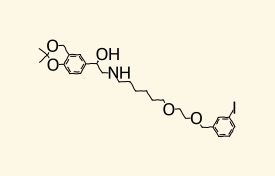 CC1(C)OCc2cc([C@@H](O)CNCCCCCCOCCOCc3cccc(I)c3)ccc2O1